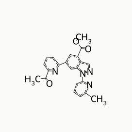 COC(=O)c1cc(-c2cccc(C(C)=O)n2)cc2c1cnn2-c1cccc(C)n1